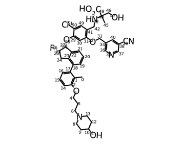 Cc1c(OCCCN2CCC(O)CC2)cccc1-c1cccc2c1C[C@H](F)[C@@H]2Oc1cc(OCc2cncc(C#N)c2)c(CNC(C)(CO)C(=O)O)cc1Cl